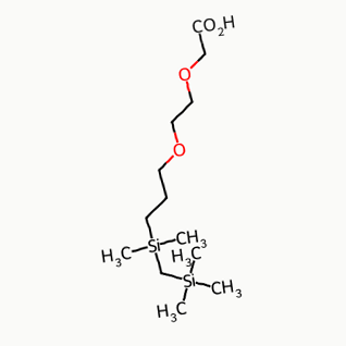 C[Si](C)(C)C[Si](C)(C)CCCOCCOCC(=O)O